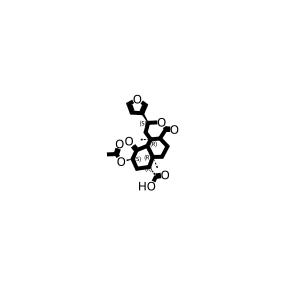 CC(=O)O[C@H]1C[C@@H](C(=O)O)[C@]2(C)CCC3C(=O)O[C@H](c4ccoc4)C[C@]3(C)C2C1=O